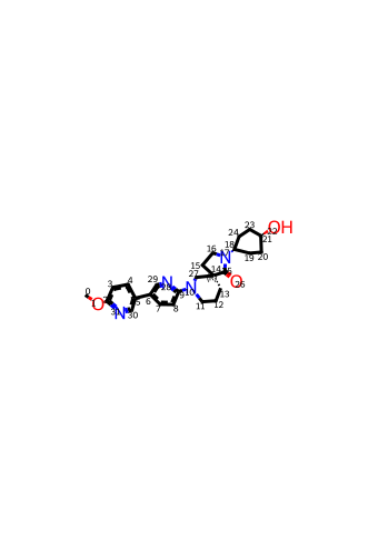 COc1ccc(-c2ccc(N3CCC[C@@]4(CCN([C@H]5CC[C@H](O)CC5)C4=O)C3)nc2)cn1